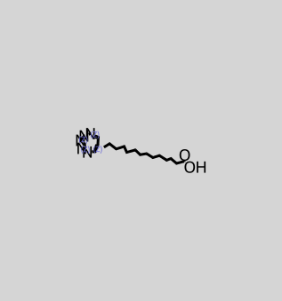 C1=C\N=N/N=N\N=C/1.CCCCCCCCCCCCCC(=O)O